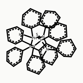 S=P1(c2ccccc2-c2ccccc2[PH]2(S)N(c3ccccc3)c3ccccc3N2c2ccccc2)N(c2ccccc2)c2ccccc2N1c1ccccc1